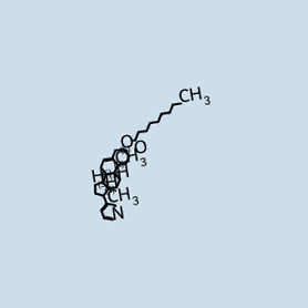 CCCCCCCCCC(=O)O[C@H]1CC[C@@]2(C)C(=CC[C@@H]3[C@@H]2CC[C@]2(C)C(c4cccnc4)CC[C@@H]32)C1